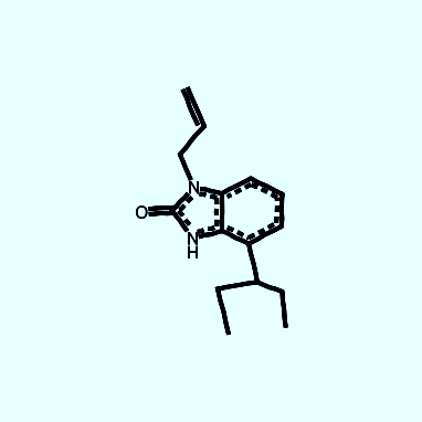 C=CCn1c(=O)[nH]c2c(C(CC)CC)cccc21